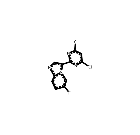 Fc1ccc2ncc(-c3nc(Cl)cc(Cl)n3)n2c1